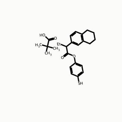 CC(C)(C)C(=O)O.CCC(C(=O)Oc1ccc(S)cc1)c1ccc2c(c1)CCCC2